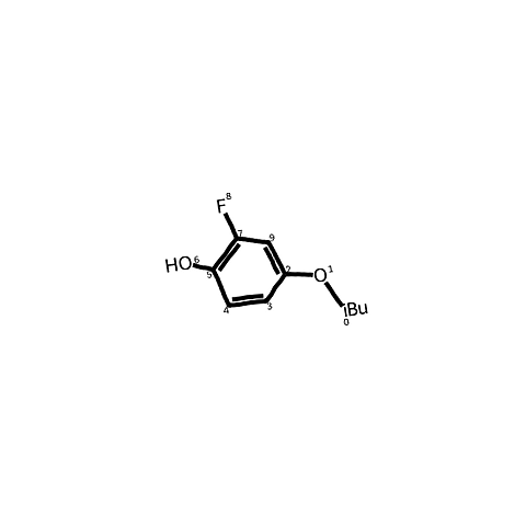 CCC(C)Oc1ccc(O)c(F)c1